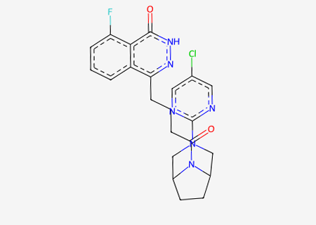 O=C(CCCc1n[nH]c(=O)c2c(F)cccc12)N1C2CCC1CN(c1ncc(Cl)cn1)C2